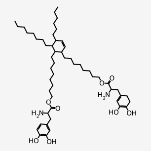 CCCCCCCCC1C(CCCCCC)C=CC(CCCCCCCCOC(=O)C(N)CC2=CC(O)=C(O)CC2)C1CCCCCCCCOC(=O)C(N)Cc1ccc(O)c(O)c1